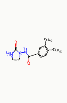 CC(=O)Oc1ccc(C(=O)NN2CCNC2=O)cc1OC(C)=O